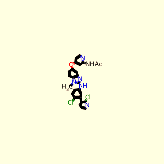 CC(=O)Nc1cc(Oc2ccc3c(c2)nc(Nc2ccc(Cl)c(-c4cccnc4Cl)c2)n3C)ccn1